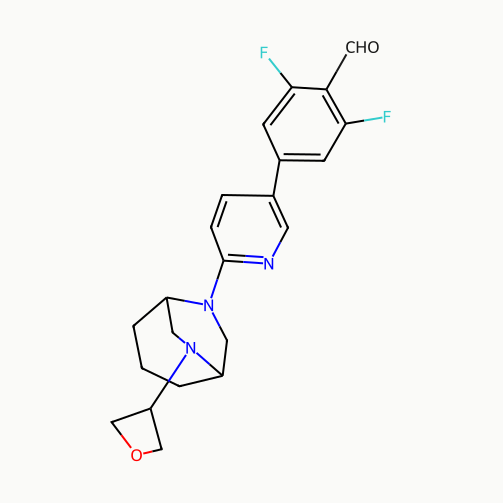 O=Cc1c(F)cc(-c2ccc(N3CC4CCCC3CN4C3COC3)nc2)cc1F